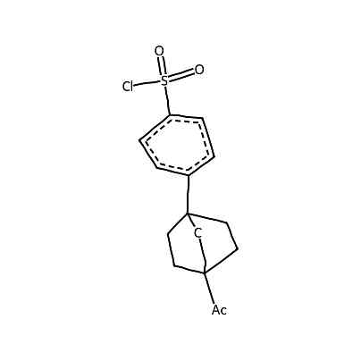 CC(=O)C12CCC(c3ccc(S(=O)(=O)Cl)cc3)(CC1)CC2